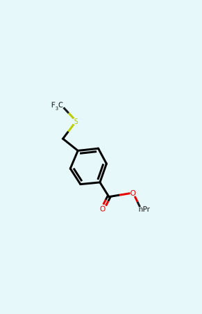 CCCOC(=O)c1ccc(CSC(F)(F)F)cc1